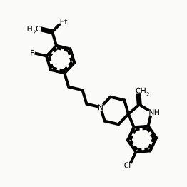 C=C(CC)c1ccc(CCCN2CCC3(CC2)C(=C)Nc2ccc(Cl)cc23)cc1F